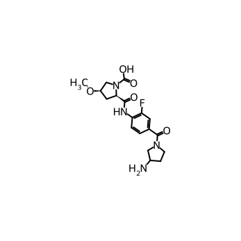 CO[C@@H]1C[C@H](C(=O)Nc2ccc(C(=O)N3CCC(N)C3)cc2F)N(C(=O)O)C1